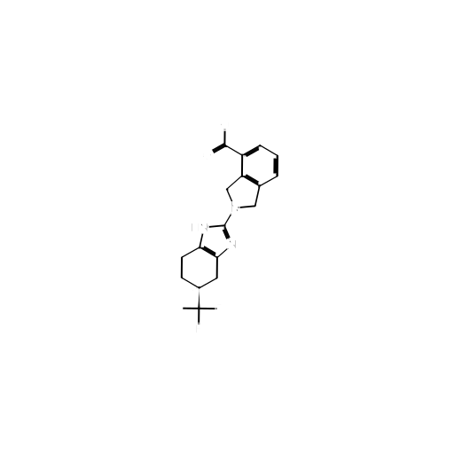 O=C(O)c1cccc2c1CN(c1nc3c([nH]1)CC[C@H](C(F)(F)F)C3)C2